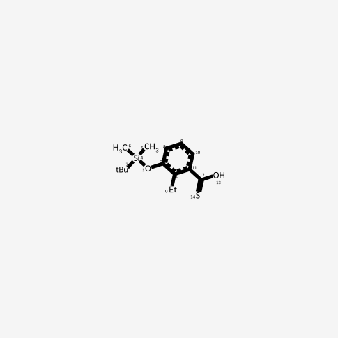 CCc1c(O[Si](C)(C)C(C)(C)C)cccc1C(O)=S